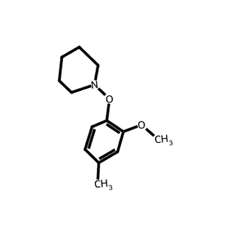 COc1cc(C)ccc1ON1CCCCC1